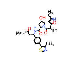 COC(=O)C[C@@H](NC(=O)[C@H]1C[C@H](O)CN1C(=O)C(c1cc(C)no1)C(C)C)c1ccc(-c2scnc2C)cc1